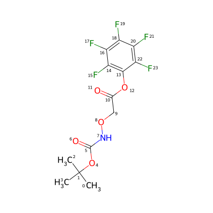 CC(C)(C)OC(=O)NOCC(=O)Oc1c(F)c(F)c(F)c(F)c1F